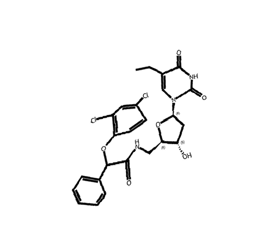 CCc1cn([C@H]2C[C@H](O)[C@@H](CNC(=O)C(Oc3ccc(Cl)cc3Cl)c3ccccc3)O2)c(=O)[nH]c1=O